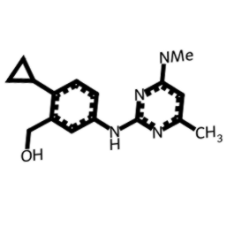 CNc1cc(C)nc(Nc2ccc(C3CC3)c(CO)c2)n1